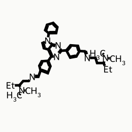 CCC(CCN=Cc1ccc(-c2nc(-c3ccc(C=NCCC(CC)N(C)C)cc3)c3ccn(-c4ccccc4)c3n2)cc1)N(C)C